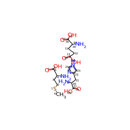 CSCCC(N)C(=O)O.NC(CCC(=O)O)C(=O)O.NC(Cc1c[nH]cn1)C(=O)O